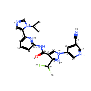 CC(C)n1cncc1-c1cccc(NC(=O)c2cn(-c3cncc(C#N)c3)nc2C(F)F)n1